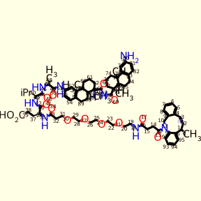 CC1/C=C\c2ccccc2CN(C(=O)CCC(=O)NCCOCCOCCOCCOCCC(=O)N[C@@H](CCC(=O)O)C(=O)N[C@H](C(=O)N[C@@H](C)C(=O)Nc2ccc3c(c2)[C@@]2(C)CCC[C@](C)(C(=O)NC(=O)[C@@]4(C)CCC[C@]5(C)c6cc(N)ccc6CC[C@@H]45)[C@@H]2CC3)C(C)C)c2ccccc21